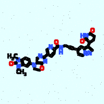 Cn1c(=O)n(C)c2cc(N3CCOc4nc(-c5ccc(C(=O)NCC#Cc6ccn7ncc(C8CCC(=O)NC8=O)c7c6)nc5)ncc43)ccc21